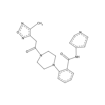 Cc1nonc1CC(=O)N1CCN(c2ccccc2C(=O)Nc2ccncc2)CC1